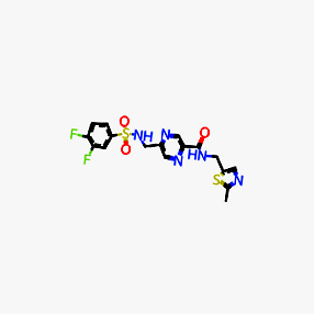 Cc1ncc(CNC(=O)c2cnc(CNS(=O)(=O)c3ccc(F)c(F)c3)cn2)s1